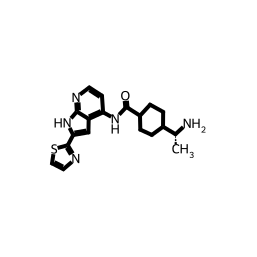 C[C@@H](N)C1CCC(C(=O)Nc2ccnc3[nH]c(-c4nccs4)cc23)CC1